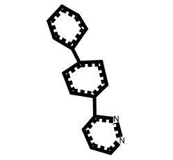 c1ccc(-c2ccc(-c3cccnn3)cc2)cc1